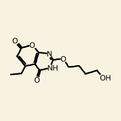 CCc1cc(=O)oc2nc(OCCCCO)[nH]c(=O)c12